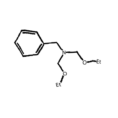 CCOCN(COCC)Cc1ccccc1